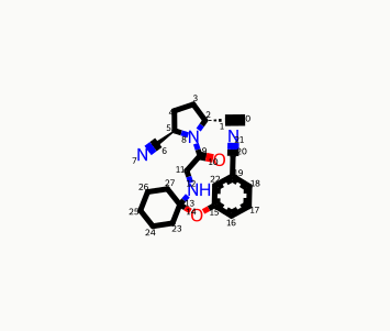 C#C[C@H]1CC[C@H](C#N)N1C(=O)CNC1(Oc2cccc(C#N)c2)CCCCC1